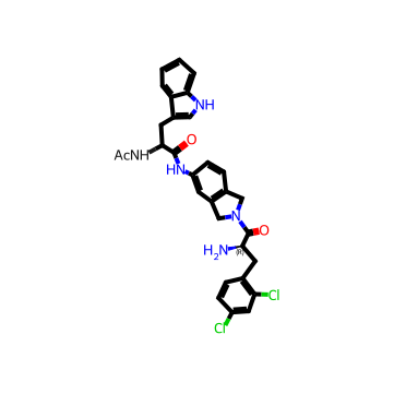 CC(=O)NC(Cc1c[nH]c2ccccc12)C(=O)Nc1ccc2c(c1)CN(C(=O)[C@H](N)Cc1ccc(Cl)cc1Cl)C2